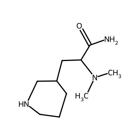 CN(C)C(CC1CCCNC1)C(N)=O